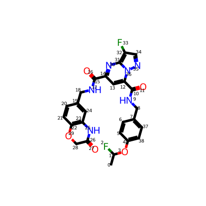 CC(F)Oc1ccc(CNC(=O)c2cc(C(=O)NCc3ccc4c(c3)NC(=O)CO4)nc3c(F)cnn23)cc1